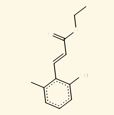 CCOC(=O)/C=C/c1c(O)cccc1Cl